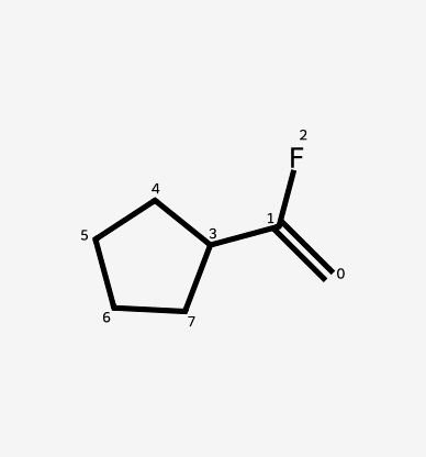 C=C(F)C1CCCC1